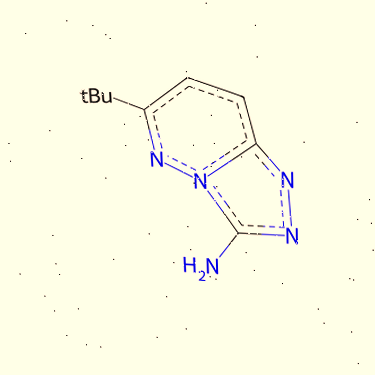 CC(C)(C)c1ccc2nnc(N)n2n1